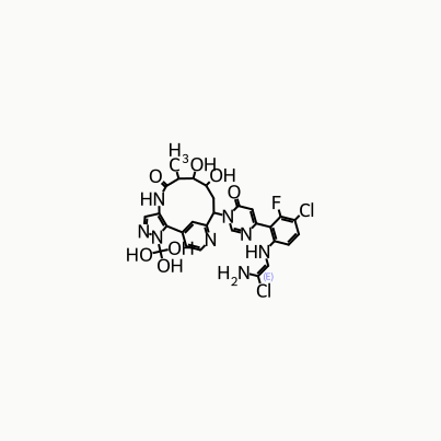 CC1C(=O)Nc2cnn(C(O)(O)O)c2-c2ccnc(c2)C(n2cnc(-c3c(N/C=C(\N)Cl)ccc(Cl)c3F)cc2=O)CC(O)C1O